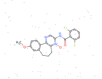 COc1ccc2c(c1)CCCc1c-2ncc(NC(=O)c2c(F)cccc2F)[n+]1[O-]